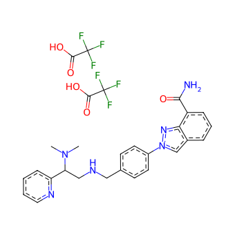 CN(C)C(CNCc1ccc(-n2cc3cccc(C(N)=O)c3n2)cc1)c1ccccn1.O=C(O)C(F)(F)F.O=C(O)C(F)(F)F